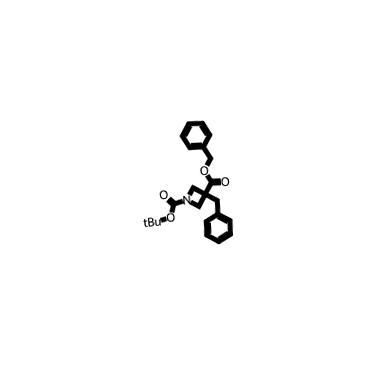 CC(C)(C)OC(=O)N1CC(Cc2ccccc2)(C(=O)OCc2ccccc2)C1